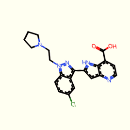 O=C(O)c1ccnc2cc(-c3nn(CCN4CCCC4)c4ccc(Cl)cc34)[nH]c12